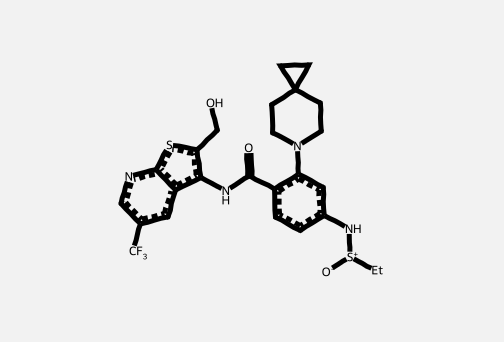 CC[S+]([O-])Nc1ccc(C(=O)Nc2c(CO)sc3ncc(C(F)(F)F)cc23)c(N2CCC3(CC2)CC3)c1